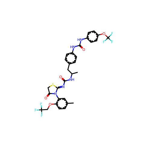 Cc1ccc(OCC(F)(F)F)c(N2C(=O)CSC2=NC(=O)NC(C)Cc2ccc(NC(=O)Nc3ccc(OC(F)(F)F)cc3)cc2)c1